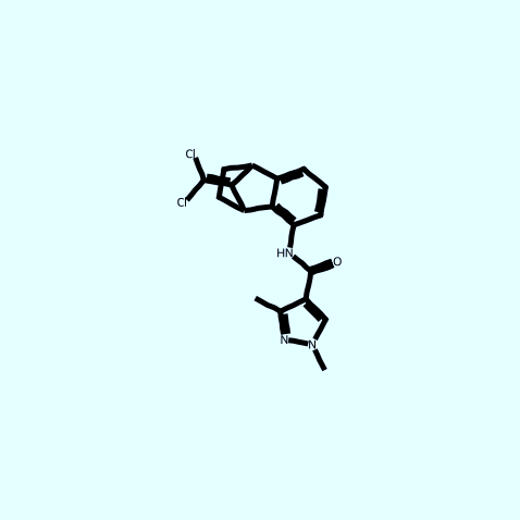 Cc1nn(C)cc1C(=O)Nc1cccc2c1C1CCC2C1=C(Cl)Cl